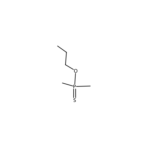 CCCOP(C)(C)=S